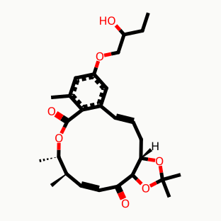 CCC(O)COc1cc(C)c2c(c1)/C=C/C[C@@H]1OC(C)(C)OC1C(=O)/C=C\[C@@H](C)[C@H](C)OC2=O